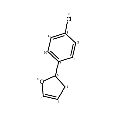 Clc1ccc(C2CC=CO2)cc1